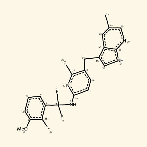 COc1cccc(C(F)(F)Nc2ccc(Cc3c[nH]c4ncc(C)cc34)c(F)n2)c1F